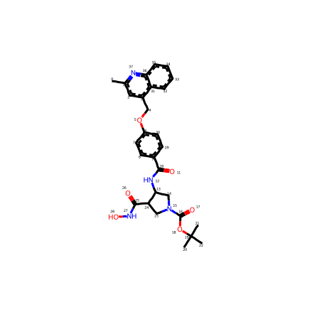 Cc1cc(COc2ccc(C(=O)NC3CN(C(=O)OC(C)(C)C)CC3C(=O)NO)cc2)c2ccccc2n1